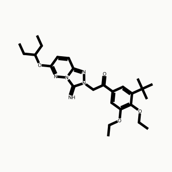 CCOc1cc(C(=O)Cn2nc3ccc(OC(CC)CC)nn3c2=N)cc(C(C)(C)C)c1OCC